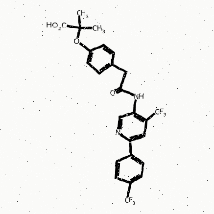 CC(C)(Oc1ccc(CC(=O)Nc2cnc(-c3ccc(C(F)(F)F)cc3)cc2C(F)(F)F)cc1)C(=O)O